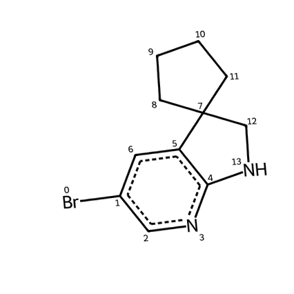 Brc1cnc2c(c1)C1(CCCC1)CN2